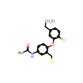 CCOC(=O)Cc1ccc(Cl)c(Oc2ccc(NC(=O)C(C)(C)C)cc2CS)c1